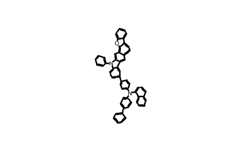 c1ccc(-c2ccc(N(c3ccc(-c4ccc5c(c4)c4cc6ccc7c8ccccc8oc7c6cc4n5-c4ccccc4)cc3)c3cccc4ccccc34)cc2)cc1